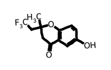 CC1(CC(F)(F)F)CC(=O)c2cc(O)ccc2O1